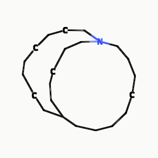 C1CCCCN2CCCCCCCCC(CCC1)CCCCC2